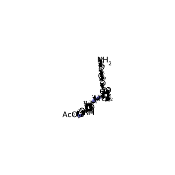 CC(=O)O[C@@H](C)/C=C\C(=O)N[C@@H]1C[C@H](C)[C@H](C/C=C(C)/C=C/[C@H]2OC(C)(C)CC(=O)[C@@H]2OCCOCCOCCOCCN)O[C@@H]1C